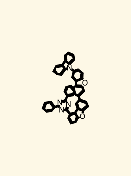 c1ccc(-c2nc(-c3ccccc3)nc(-c3cccc4oc5ccc(-c6ccc7c(c6)oc6ccc(-n8c9ccccc9c9ccccc98)cc67)cc5c34)n2)cc1